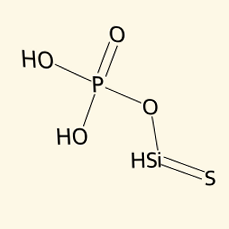 O=P(O)(O)O[SiH]=S